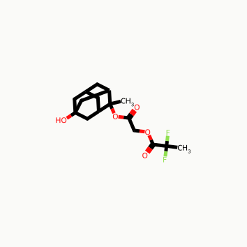 CC(F)(F)C(=O)OCC(=O)OC1(C)C2CC3CC1CC(O)(C3)C2